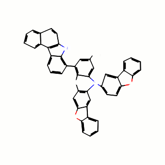 Cc1cc(-c2cccc3c2[nH]c2ccc4ccccc4c23)c2c(c1)N(c1ccc3oc4ccccc4c3c1)c1cc3c(cc1B2)oc1ccccc13